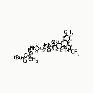 Cc1ccc(-c2cc(C(F)(F)F)nn2-c2ccc(S(=O)(=O)NC(=O)OCC3CN(/N=N\OC(C)OC(=O)C(C)(C)C)C3)cc2)cc1